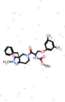 CN1N=C2CCN(C(=O)C(COc3cc(C(F)(F)F)cc(C(F)(F)F)c3)NC(=O)OC(C)(C)C)C[C@@]2(Cc2ccccc2)C1=O